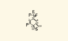 Fc1cc(C(F)(F)F)cc2cs[c]c12